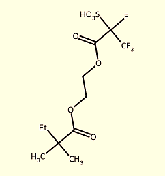 CCC(C)(C)C(=O)OCCOC(=O)C(F)(C(F)(F)F)S(=O)(=O)O